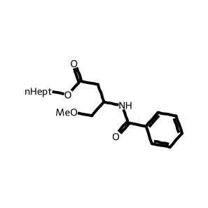 CCCCCCCOC(=O)CC(COC)NC(=O)c1ccccc1